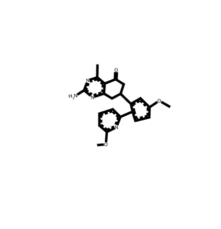 COc1ccc(-c2cccc(OC)n2)c(C2CC(=O)c3c(C)nc(N)nc3C2)c1